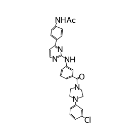 CC(=O)Nc1ccc(-c2ccnc(Nc3cccc(C(=O)N4CCN(c5cccc(Cl)c5)CC4)c3)n2)cc1